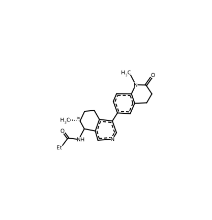 CCC(=O)NC1c2cncc(-c3ccc4c(c3)CCC(=O)N4C)c2CC[C@H]1C